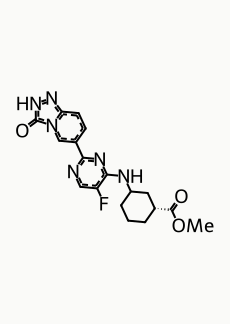 COC(=O)[C@@H]1CCCC(Nc2nc(-c3ccc4n[nH]c(=O)n4c3)ncc2F)C1